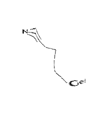 N#CC[CH2][Ge]